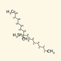 CCCCCCCCCC(C)([SiH3])CCCCCCCC